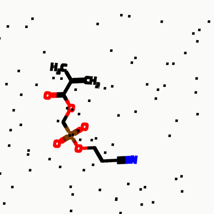 C=C(C)C(=O)OCS(=O)(=O)OCCC#N